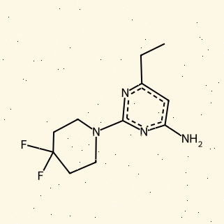 CCc1cc(N)nc(N2CCC(F)(F)CC2)n1